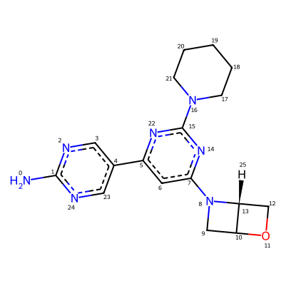 Nc1ncc(-c2cc(N3CC4OC[C@H]43)nc(N3CCCCC3)n2)cn1